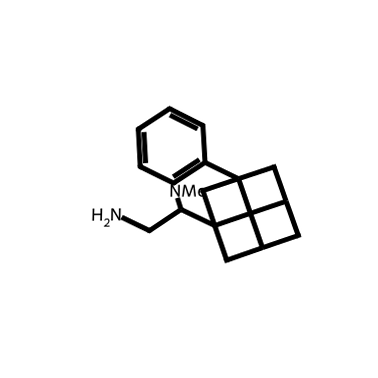 CNC(CN)C12CC3CC4CC(c5ccccc5)(C1)C432